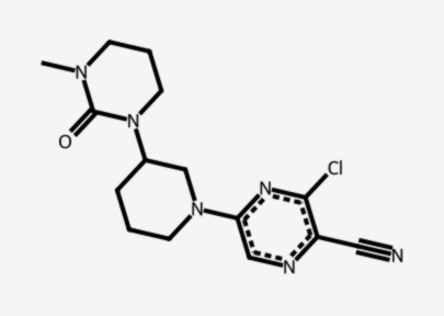 CN1CCCN(C2CCCN(c3cnc(C#N)c(Cl)n3)C2)C1=O